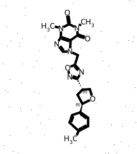 Cc1ccc([C@H]2C[C@H](c3noc(Cn4cnc5c4c(=O)n(C)c(=O)n5C)n3)CO2)cc1